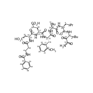 CCCCC(NC(=O)[C@H](CC(C)C)NC(=O)[C@@H](NC(=O)[C@H](Cc1ccccc1C)NC(=O)[C@H](CCC(=O)O)NC(=O)[C@H](CC(=O)O)NC(=O)CCNC(=O)c1ccccc1)C(C)(C)C)C(=O)C(N)=O